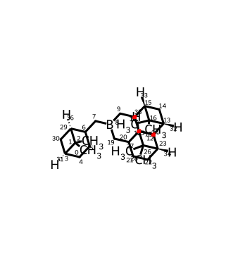 CC1(C)[C@H]2CCC(CB(CC3CC[C@H]4C[C@@H]3C4(C)C)CC3CC[C@H]4C[C@@H]3C4(C)C)[C@@H]1C2